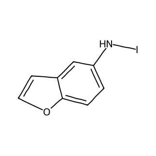 INc1ccc2occc2c1